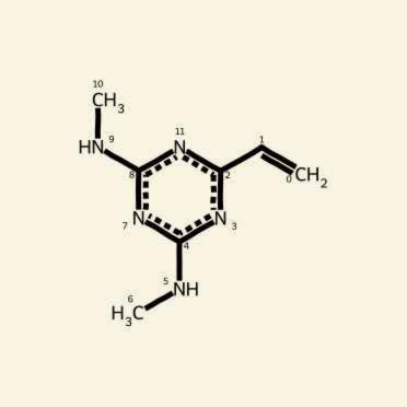 C=Cc1nc(NC)nc(NC)n1